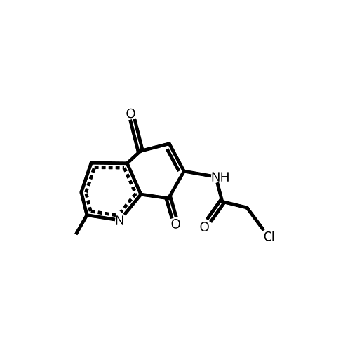 Cc1ccc2c(n1)C(=O)C(NC(=O)CCl)=CC2=O